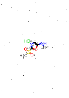 CCCNc1cnc(S(C)(=O)=O)o1.Cl